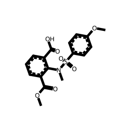 COC(=O)c1cccc(C(=O)O)c1N(C)S(=O)(=O)c1ccc(OC)cc1